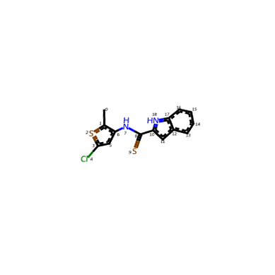 Cc1sc(Cl)cc1NC(=S)c1cc2ccccc2[nH]1